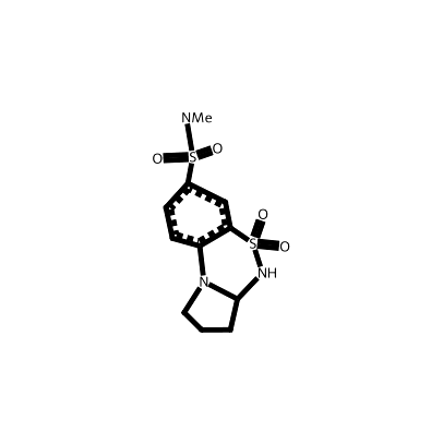 CNS(=O)(=O)c1ccc2c(c1)S(=O)(=O)NC1CCCN21